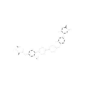 COc1cc(-c2cn(C)c(=O)c(C)c2C)cc(F)c1CN1CCC(C2CCN(c3ccc(NC4CCC(=O)NC4=O)cc3C(F)(F)F)CC2)CC1